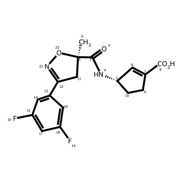 C[C@]1(C(=O)N[C@@H]2C=C(C(=O)O)CC2)CC(c2cc(F)cc(F)c2)=NO1